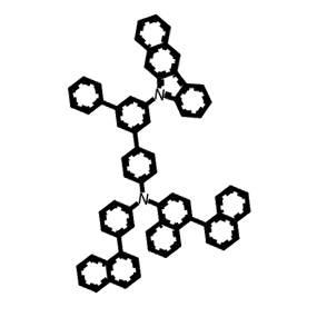 c1ccc(-c2cc(-c3ccc(N(c4cccc(-c5cccc6ccccc56)c4)c4ccc(-c5cccc6ccccc56)c5ccccc45)cc3)cc(-n3c4ccccc4c4cc5ccccc5cc43)c2)cc1